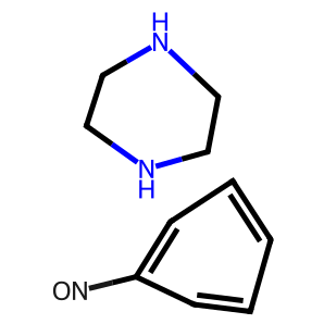 C1CNCCN1.O=Nc1ccccc1